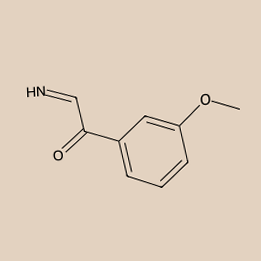 COc1cccc(C(=O)C=N)c1